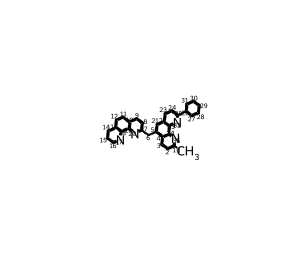 Cc1ccc2c(Cc3ccc4ccc5cccnc5c4n3)cc3ccc(-c4ccccc4)nc3c2n1